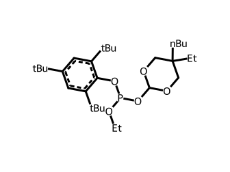 CCCCC1(CC)COC(OP(OCC)Oc2c(C(C)(C)C)cc(C(C)(C)C)cc2C(C)(C)C)OC1